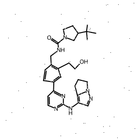 CC(C)(C)C1CCN(C(=O)NCc2ccc(-c3ccnc(Nc4cnn5c4CCC5)n3)cc2CCO)C1